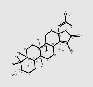 CCOC(=O)/C(C)=C/[C@@]12CC[C@]3(C)[C@H](CC[C@@H]4[C@@]5(C)CC[C@H](OC(C)=O)C(C)(C)[C@@H]5CC[C@]43C)C1=C(C(C)C)C(=O)C2